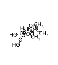 CCCc1nn(C)c2c(=O)[nH]c(-c3cc(S(=O)(=O)NC(CCO)CCOCCO)ccc3OC)nc12